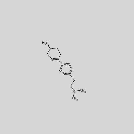 C[C@H]1CCC(c2ccc(CCN(C)C)cc2)=NC1